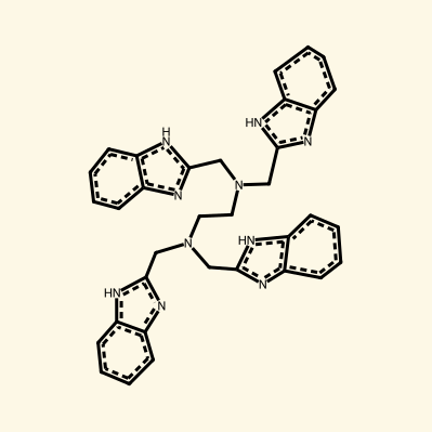 c1ccc2[nH]c(CN(CCN(Cc3nc4ccccc4[nH]3)Cc3nc4ccccc4[nH]3)Cc3nc4ccccc4[nH]3)nc2c1